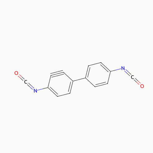 O=C=Nc1c#cc(-c2ccc(N=C=O)cc2)cc1